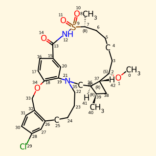 CO[C@H]1CCCC[C@@H](C)S(=O)(=O)NC(=O)c2ccc3c(c2)N(CCCCc2cc(Cl)ccc2CO3)C[C@H]2[C@H]1C[C@H]2C